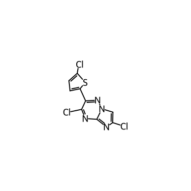 Clc1cn2nc(-c3ccc(Cl)s3)c(Cl)nc2n1